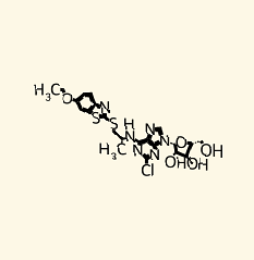 CCOc1ccc2nc(SC[C@@H](C)Nc3nc(Cl)nc4c3ncn4[C@@H]3O[C@H](CO)[C@@H](O)[C@H]3O)sc2c1